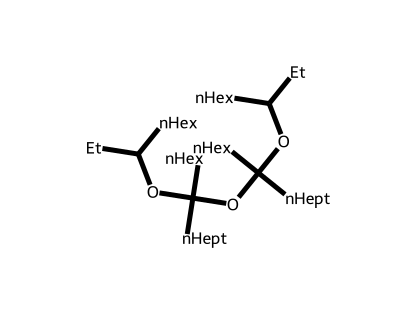 CCCCCCCC(CCCCCC)(OC(CC)CCCCCC)OC(CCCCCC)(CCCCCCC)OC(CC)CCCCCC